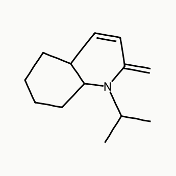 C=C1C=CC2CCCCC2N1C(C)C